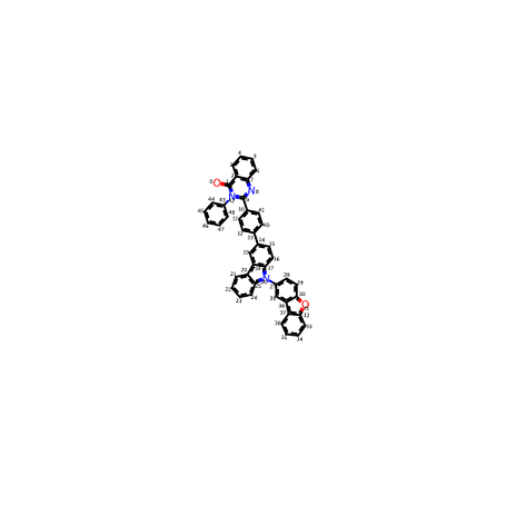 O=c1c2ccccc2nc(-c2ccc(-c3ccc4c(c3)c3ccccc3n4-c3ccc4oc5ccccc5c4c3)cc2)n1-c1ccccc1